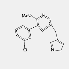 COc1ncc(CC2=CCN=C2)cc1-c1cccc(Cl)c1